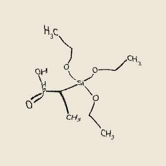 CCO[Si](OCC)(OCC)C(C)[PH](=O)O